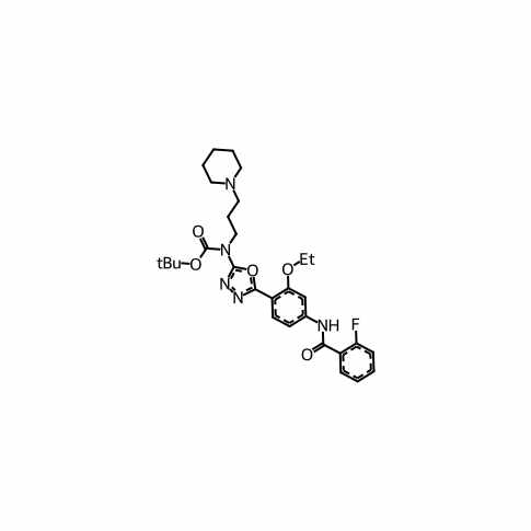 CCOc1cc(NC(=O)c2ccccc2F)ccc1-c1nnc(N(CCCN2CCCCC2)C(=O)OC(C)(C)C)o1